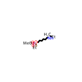 C=C(CC)NCCCCCCOP(=S)(OCC)OOC